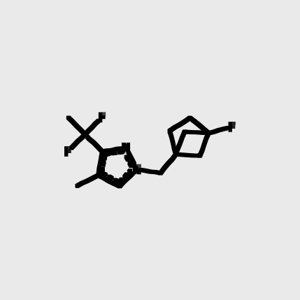 Cc1cn(CC23CCC(F)(C2)C3)nc1C(C)(F)F